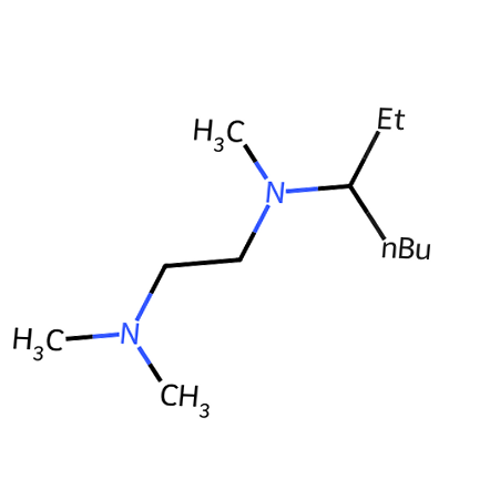 CCCCC(CC)N(C)CCN(C)C